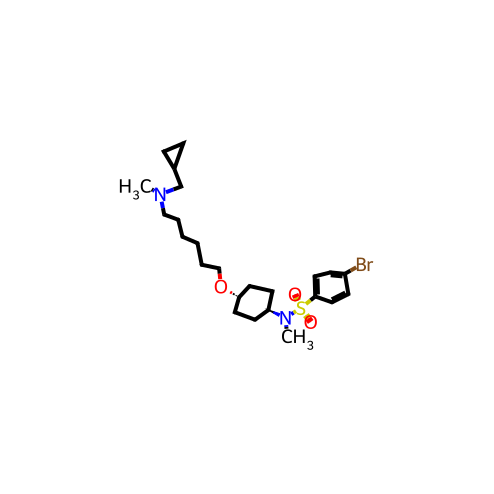 CN(CCCCCCO[C@H]1CC[C@H](N(C)S(=O)(=O)c2ccc(Br)cc2)CC1)CC1CC1